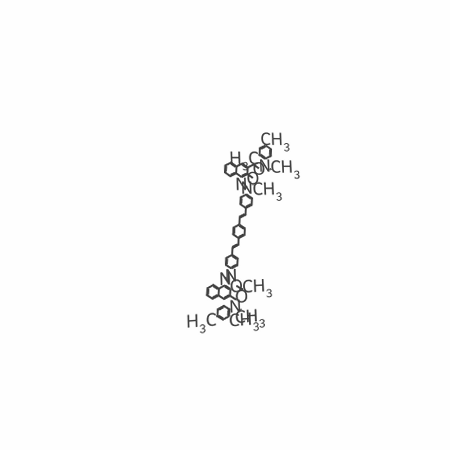 CCOc1c(CON(CC)c2ccc(C)cc2C)cc2ccccc2c1N=Nc1ccc(C=Cc2ccc(C=Cc3ccc(N=Nc4c(OCC)c(C(=O)N(CC)c5ccc(C)cc5C)cc5ccccc45)cc3)cc2)cc1